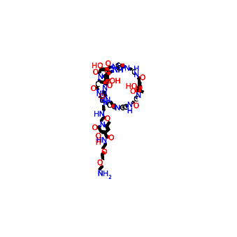 Cc1cc(C(=O)NCCOCCOCCN)c(O)c(=O)n1CC(=O)NCCN1CCNC(=O)Cn2c(C)cc(c(O)c2=O)C(=O)NCCN2CCNC(=O)c3cc(C)n(c(=O)c3O)CC(=O)NCCN(CCNC(=O)Cn3c(C)cc(c(O)c3=O)C(=O)NCC2)CC1